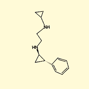 c1ccc([C@@H]2C[C@H]2NCCNC2CC2)cc1